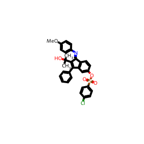 COc1ccc(/N=C2\C(C(C)(C)O)=C(c3ccccc3)c3cc(OS(=O)(=O)c4ccc(Cl)cc4)ccc32)cc1